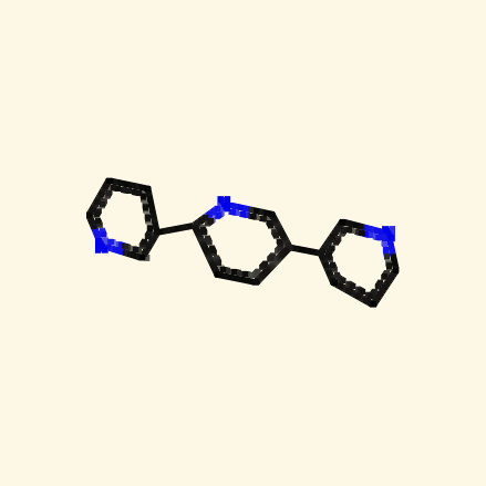 [c]1ncccc1-c1ccc(-c2cccnc2)cn1